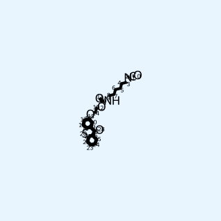 O=C=NCCCCCCNC(=O)OCCOc1ccc2sc3ccccc3c(=O)c2c1